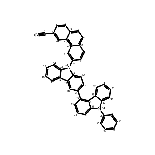 N#Cc1ccc2ccc3ccc(-n4c5ccccc5c5cc(-c6cccc7c6c6ccccc6n7-c6ccccc6)ccc54)cc3c2c1